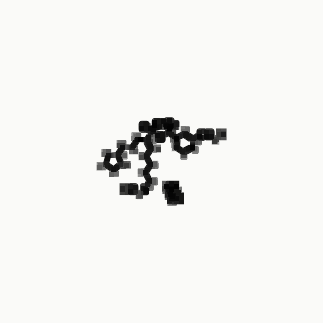 COP(=O)(OC(=O)c1cccc(C(=O)O)c1)/C(=C/CCCCS(=O)(=O)O)CCCC1CCCC1.[KH].[KH].[KH]